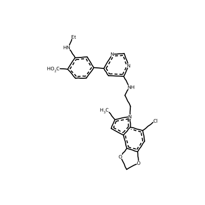 CCNc1cc(-c2cc(NCCn3c(C)cc4c5c(cc(Cl)c43)OCO5)ncn2)ccc1C(=O)O